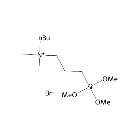 CCCC[N+](C)(C)CCC[Si](OC)(OC)OC.[Br-]